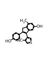 Cc1cc(O)cc2c1CC(c1ccc(O)cc1)=C2c1cscc1C#N